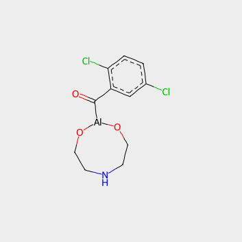 O=[C](c1cc(Cl)ccc1Cl)[Al]1[O]CCNCC[O]1